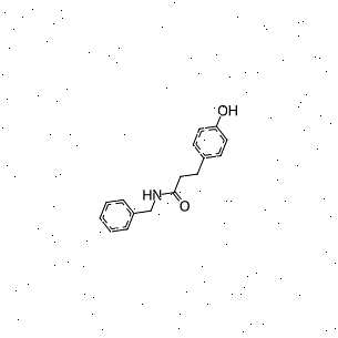 O=C(CCc1ccc(O)cc1)NCc1ccccc1